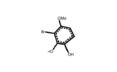 COc1ccc(O)c(O)c1Br